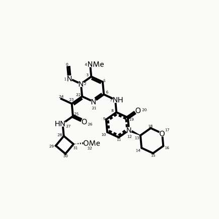 C=NN1C(NC)=CC(Nc2cccn([C@@H]3CCCOC3)c2=O)=N/C1=C(/C)C(=O)NC1CC[C@H]1OC